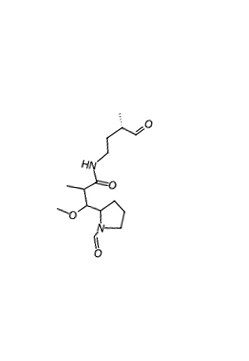 COC(C(C)C(=O)NCC[C@H](C)C=O)C1CCCN1C=O